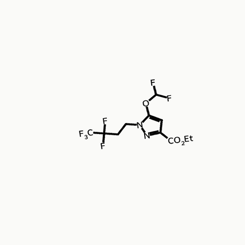 CCOC(=O)c1cc(OC(F)F)n(CCC(F)(F)C(F)(F)F)n1